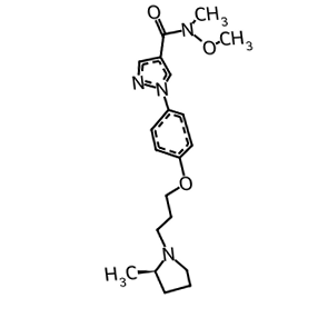 CON(C)C(=O)c1cnn(-c2ccc(OCCCN3CCC[C@H]3C)cc2)c1